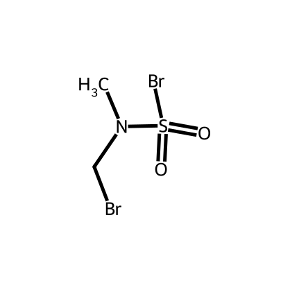 CN(CBr)S(=O)(=O)Br